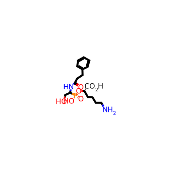 NCCCC[C@H](OP(=O)(O)C(CO)NC(=O)CCc1ccccc1)C(=O)O